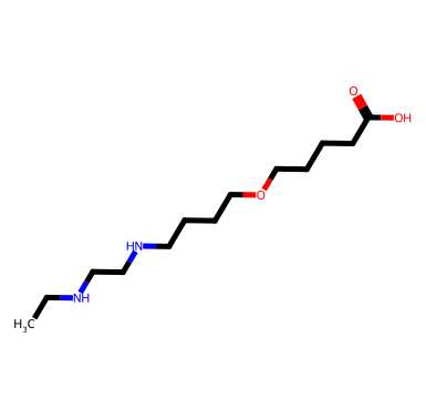 CCNCCNCCCCOCCCCC(=O)O